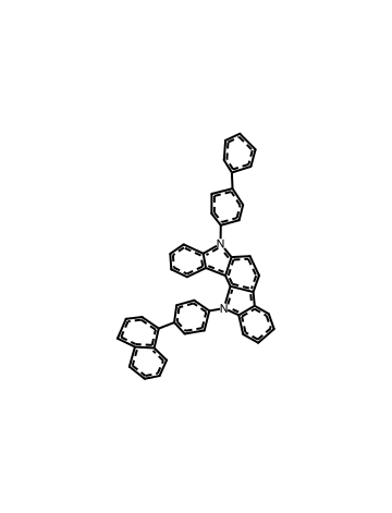 c1ccc(-c2ccc(-n3c4ccccc4c4c3ccc3c5ccccc5n(-c5ccc(-c6cccc7ccccc67)cc5)c34)cc2)cc1